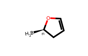 B[C@@H]1CC=CO1